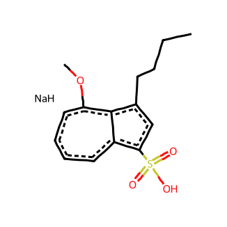 CCCCc1cc(S(=O)(=O)O)c2ccccc(OC)c1-2.[NaH]